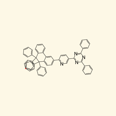 c1ccc(-c2nc(-c3ccccc3)nc(-c3ccc(-c4ccc5c(c4)-c4ccccc4C(c4ccccc4)(c4ccccc4)C5(c4ccccc4)c4ccccc4)nc3)n2)cc1